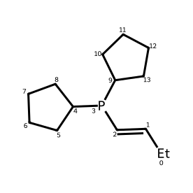 CC/C=C/P(C1CCCC1)C1CCCC1